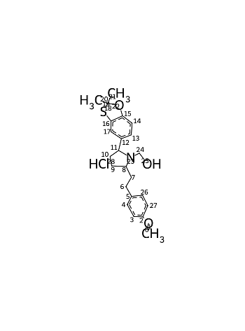 COc1ccc(CCC2CCC(c3ccc4c(c3)SC(C)(C)O4)N2CO)cc1.Cl